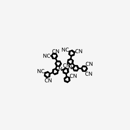 N#Cc1cc(C#N)cc(-c2ccc3c(c2)c2cc(-c4cc(C#N)cc(C#N)c4)ccc2n3-c2cc(-c3ccccc3C#N)cc(-n3c4ccc(-c5cc(C#N)cc(C#N)c5)cc4c4cc(-c5cc(C#N)cc(C#N)c5)ccc43)c2C#N)c1